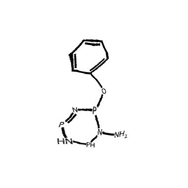 Nn1[pH][nH]pnp1Oc1ccccc1